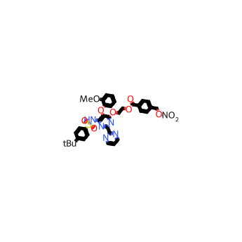 COc1ccccc1Oc1c(NS(=O)(=O)c2ccc(C(C)(C)C)cc2)nc(-c2ncccn2)nc1OCCOC(=O)c1ccc(CO[N+](=O)[O-])cc1